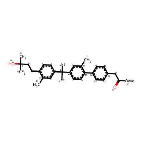 CCC(CC)(c1ccc(CCC(O)(C(F)(F)F)C(F)(F)F)c(C)c1)c1ccc(-c2ccc(CC(=O)OC)cc2)c(C)c1